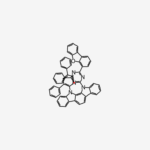 c1ccc(-c2ccc(-n3c4ccccc4c4ccc5c6ccccc6n(-c6nc(-c7ccccc7)nc(-c7cccc8c7oc7ccccc78)n6)c5c43)c(-c3ccccc3)c2)cc1